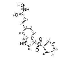 O=C(C=Cc1ccc2c(S(=O)(=O)c3ccccc3)c[nH]c2c1)NO